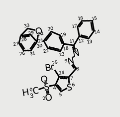 CS(=O)(=O)c1csc(C=NN=C(c2ccccc2)c2ccccc2)c1Br.c1cc2cc(c1)OC2